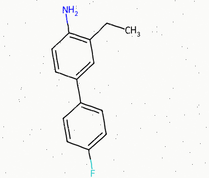 CCc1cc(-c2ccc(F)cc2)ccc1N